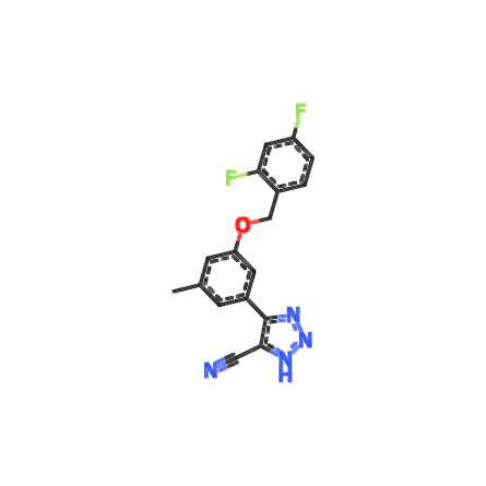 Cc1cc(OCc2ccc(F)cc2F)cc(-c2nn[nH]c2C#N)c1